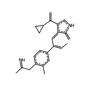 C=C(c1c[nH]c(=C)/c1=C\C(=C/C)c1ccc(CC(C)=N)c(C)c1)C1CC1